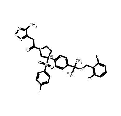 Cc1nonc1CC(=O)N1CC[C@](c2ccc(C(OCc3c(F)cccc3F)(C(F)(F)F)C(F)(F)F)cc2)(S(=O)(=O)c2ccc(F)cc2)C1